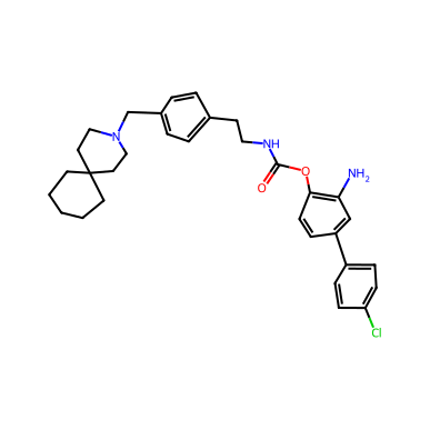 Nc1cc(-c2ccc(Cl)cc2)ccc1OC(=O)NCCc1ccc(CN2CCC3(CCCCC3)CC2)cc1